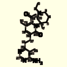 CCN1CCCC(C)(n2c(C(C)=O)c(C)cc(CCc3ncnc(N)c3C)c2=O)C1